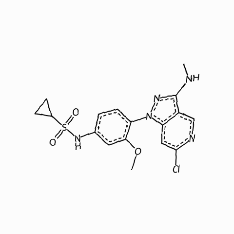 CNc1nn(-c2ccc(NS(=O)(=O)C3CC3)cc2OC)c2cc(Cl)ncc12